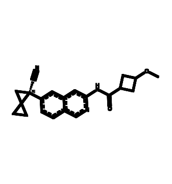 COC1CC(C(=O)Nc2cc3cc([C@]4(C#N)CC45CC5)ccc3cn2)C1